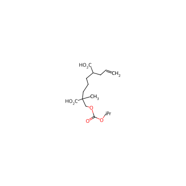 C=CCC(CCCC(C)(COC(=O)OC(C)C)C(=O)O)C(=O)O